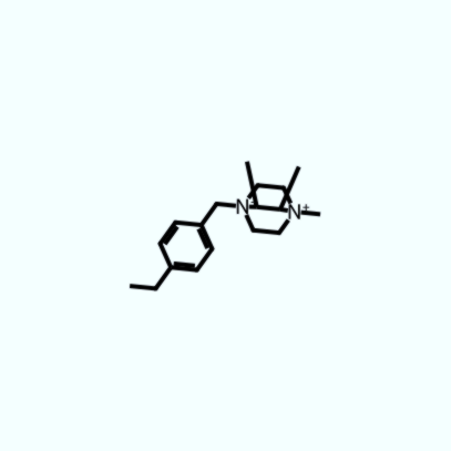 CCc1ccc(C[N+]23CC[N+](C)(CC2)C(C)C3C)cc1